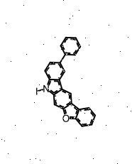 In1c2ccc(-c3ccccc3)cc2c2cc3c(cc21)oc1ccccc13